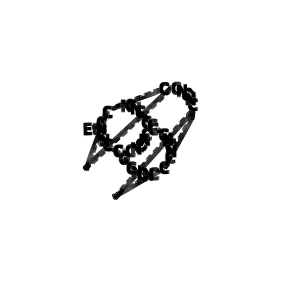 CCN1Cc2cc3cc(c2)CN2CCN(Cc4cc5cc(c4)CN4CCN(Cc6cc(cc(c6)CN6CCN(C3)C6)CN3CCN(Cc6cc(cc(c6)CN6CCN(C5)C6)CN(C)C1)C3)C4)C2